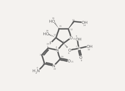 Nc1ccn([C@]2(OP(=O)(O)O)O[C@H](CO)[C@@H](O)[C@]2(O)F)c(=O)n1